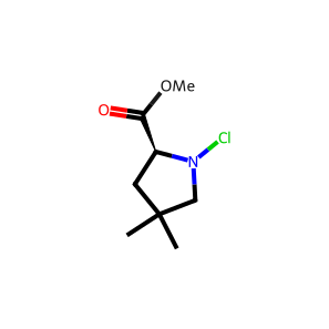 COC(=O)[C@@H]1CC(C)(C)CN1Cl